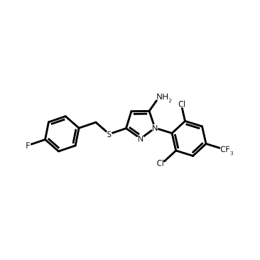 Nc1cc(SCc2ccc(F)cc2)nn1-c1c(Cl)cc(C(F)(F)F)cc1Cl